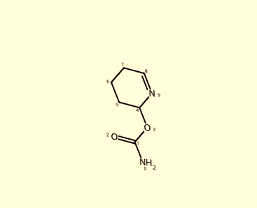 NC(=O)OC1CCCC=N1